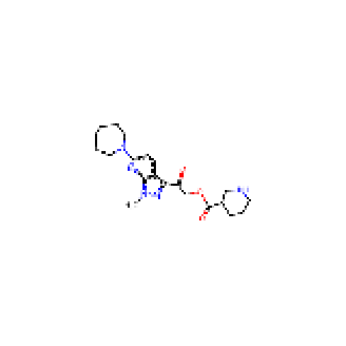 Cn1nc(C(=O)COC(=O)C2CCCNC2)c2ccc(N3CCCCCC3)nc21